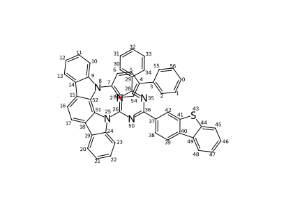 c1ccc(-c2ccc(-n3c4ccccc4c4ccc5c6ccccc6n(-c6nc(-c7ccccc7)nc(-c7ccc8c(c7)sc7ccccc78)n6)c5c43)cc2)cc1